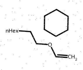 C1CCCCC1.C=COCCCCCCCC